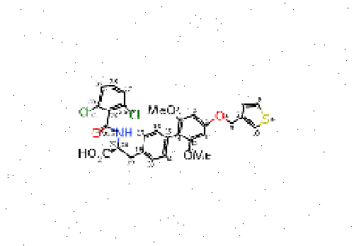 COc1cc(OCc2ccsc2)cc(OC)c1-c1ccc(C[C@H](NC(=O)c2c(Cl)cccc2Cl)C(=O)O)cc1